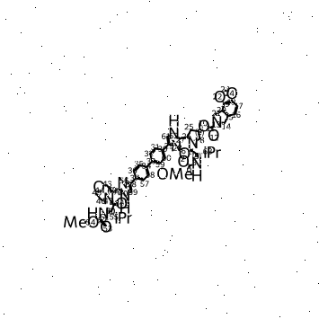 COC(=O)N[C@H](C(=O)N1C[C@@H](OC(=O)N2Cc3ccc4c(c3C2)OCO4)CC1c1nc(-c2ccc(-c3ccc(-c4c[nH]c([C@@H]5COCCN5C(=O)[C@@H](NC(=O)OC)C(C)C)n4)cc3)cc2)c[nH]1)C(C)C